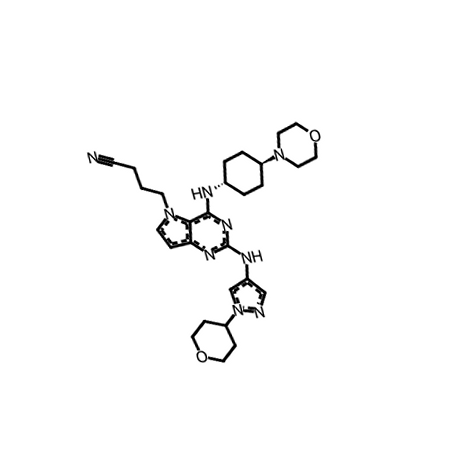 N#CCCCn1ccc2nc(Nc3cnn(C4CCOCC4)c3)nc(N[C@H]3CC[C@H](N4CCOCC4)CC3)c21